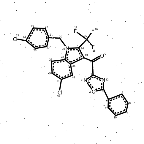 O=C(c1noc(-c2ccccc2)n1)c1c(C(F)(F)F)n(Cc2ccc(Cl)cc2)c2ccc(Cl)cc12